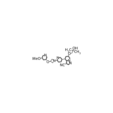 COc1cncc(OC2CN(c3ccc(-c4cc(OCC(C)(C)O)cn5ncc(C#N)c45)cn3)C2)c1